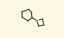 C1CCC([N+]2CCC2)CC1